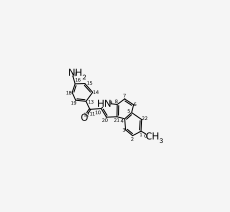 Cc1ccc2c(ccc3[nH]c(C(=O)c4ccc(N)cc4)cc32)c1